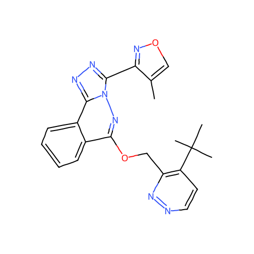 Cc1conc1-c1nnc2c3ccccc3c(OCc3nnccc3C(C)(C)C)nn12